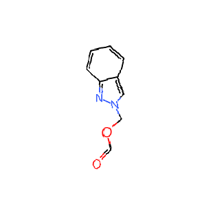 O=COCn1cc2ccccc2n1